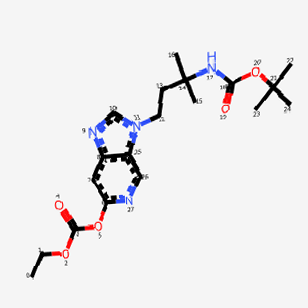 CCOC(=O)Oc1cc2ncn(CCC(C)(C)NC(=O)OC(C)(C)C)c2cn1